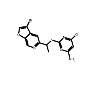 CC(Sc1nc(N)cc(Cl)n1)c1cc2c(Br)coc2cn1